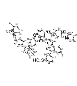 Cc1ccc(-c2ccc(-c3cccc(Oc4ccc(C56CC7CC(CC(c8ccc(Oc9cccc(C)c9C#N)cc8)(C7)C5)C6)cc4)c3C#N)c(C(=O)c3ccc(Oc4ccccn4)cc3)c2)c(C(=O)c2cccc(S(=O)(=O)O)c2)c1